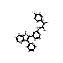 CC(C(=O)Nc1cc(-c2[nH]c3cccnc3c2-c2ccccn2)ccn1)c1ccc(F)cc1